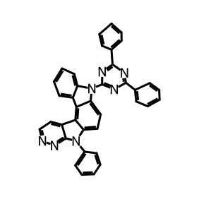 c1ccc(-c2nc(-c3ccccc3)nc(-n3c4ccccc4c4c5c6ccnnc6n(-c6ccccc6)c5ccc43)n2)cc1